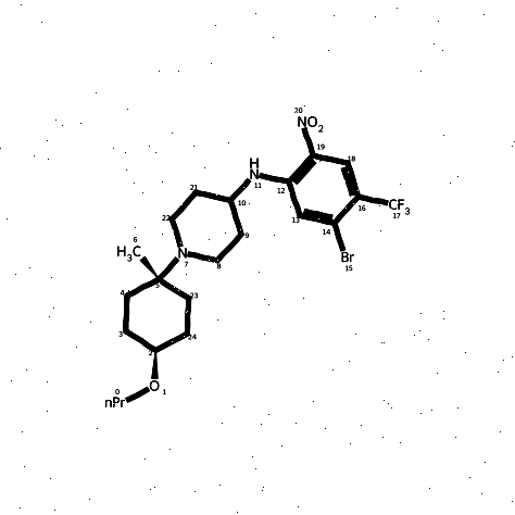 CCCO[C@H]1CC[C@](C)(N2CCC(Nc3cc(Br)c(C(F)(F)F)cc3[N+](=O)[O-])CC2)CC1